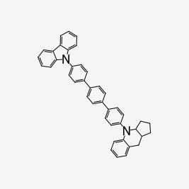 c1ccc2c(c1)CC1CCCC1N2c1ccc(-c2ccc(-c3ccc(-n4c5ccccc5c5ccccc54)cc3)cc2)cc1